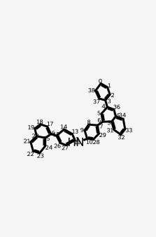 c1ccc(-c2cc(-c3ccc(Nc4ccc(-c5cccc6ccccc56)cc4)cc3)c3ccccc3c2)cc1